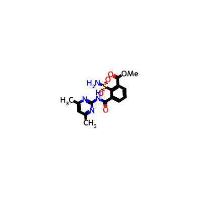 COC(=O)c1cccc(C(=O)Nc2nc(C)cc(C)n2)c1S(N)(=O)=O